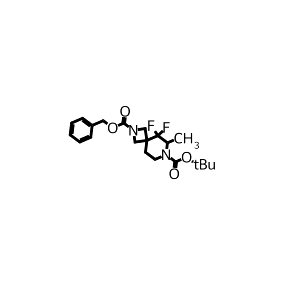 CC1N(C(=O)OC(C)(C)C)CCC2(CN(C(=O)OCc3ccccc3)C2)C1(F)F